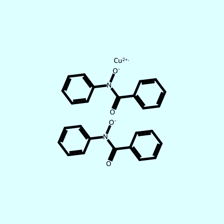 O=C(c1ccccc1)N([O-])c1ccccc1.O=C(c1ccccc1)N([O-])c1ccccc1.[Cu+2]